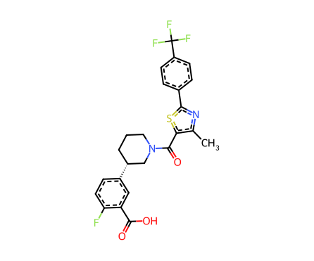 Cc1nc(-c2ccc(C(F)(F)F)cc2)sc1C(=O)N1CCC[C@@H](c2ccc(F)c(C(=O)O)c2)C1